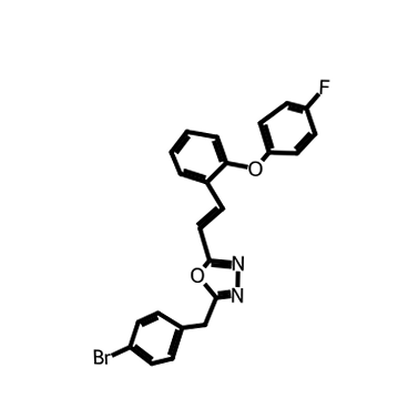 Fc1ccc(Oc2ccccc2/C=C/c2nnc(Cc3ccc(Br)cc3)o2)cc1